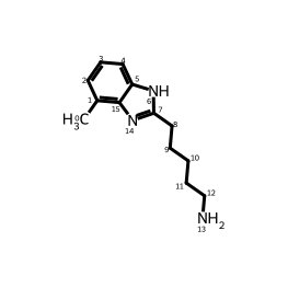 Cc1cccc2[nH]c(CCCCCN)nc12